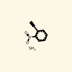 C#Cc1ccccc1[N+](=O)[O-].[SiH4]